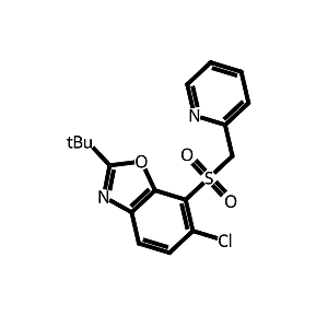 CC(C)(C)c1nc2ccc(Cl)c(S(=O)(=O)Cc3ccccn3)c2o1